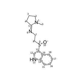 CN1CCCC1=NCC[S+]([O-])c1c[nH]c2ccccc12